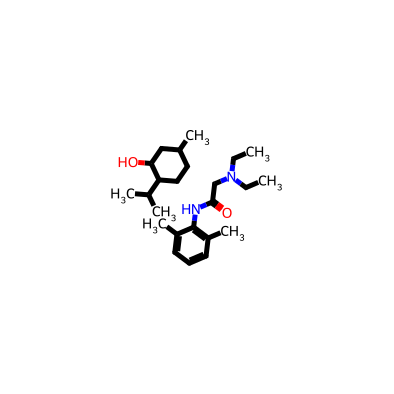 CC1CCC(C(C)C)C(O)C1.CCN(CC)CC(=O)Nc1c(C)cccc1C